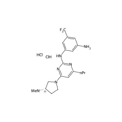 CCCc1cc(N2CC[C@H](NC)C2)nc(Nc2cc(N)cc(C(F)(F)F)c2)n1.Cl.Cl